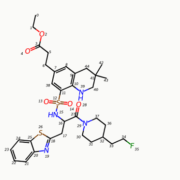 CCOC(=O)CCc1cc2c(c(S(=O)(=O)NC(Cc3nc4ccccc4s3)C(=O)N3CCC(CCF)CC3)c1)NCC(C)(C)C2